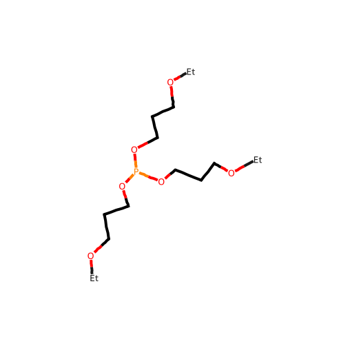 CCOCCCOP(OCCCOCC)OCCCOCC